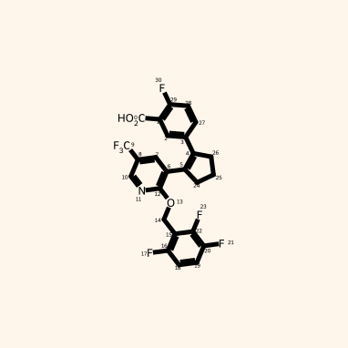 O=C(O)c1cc(C2=C(c3cc(C(F)(F)F)cnc3OCc3c(F)ccc(F)c3F)CCC2)ccc1F